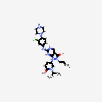 C=CCn1c(=O)c2cnc(Nc3ccc(N4CCNCC4)c(Cl)c3)nc2n1-c1ccc(=O)n(C(C)C)c1